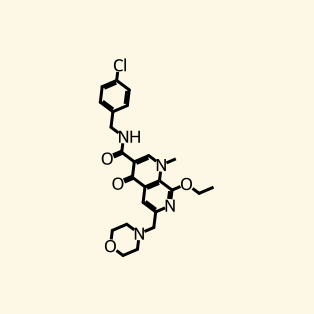 CCOc1nc(CN2CCOCC2)cc2c(=O)c(C(=O)NCc3ccc(Cl)cc3)cn(C)c12